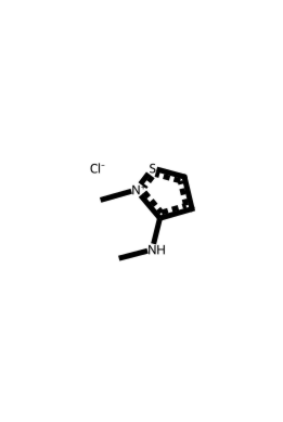 CNc1ccs[n+]1C.[Cl-]